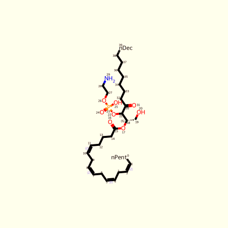 CCCCC/C=C\C/C=C\C/C=C\C/C=C\CCCC(=O)O[C@@H](CO)C(OP(=O)(O)OCCN)C(=O)CCCCCCCCCCCCCCCCC